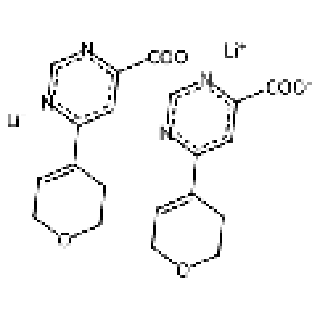 O=C([O-])c1cc(C2=CCOCC2)ncn1.O=C([O-])c1cc(C2=CCOCC2)ncn1.[Li+].[Li+]